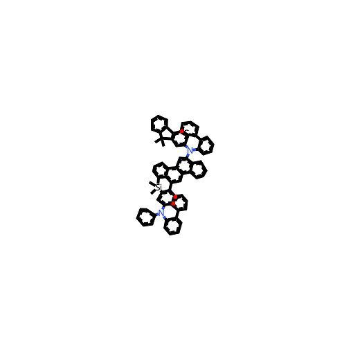 CC1(C)c2ccccc2-c2ccc(N(c3ccccc3-c3ccccc3)c3cc4c5cccc6c5c(cc4c4ccccc34)-c3ccc(N(c4ccccc4)c4ccccc4-c4ccccc4)cc3[Si]6(C)C)cc21